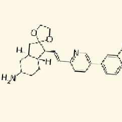 NC1CC[C@@H]2[C@@H](C1)CC1(OCCO1)[C@H]2/C=C/c1ccc(-c2cccc(F)c2)cn1